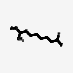 CC(=O)OC(C)SCCCCCC(F)F